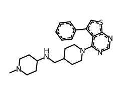 CN1CCC(NCC2CCN(c3ncnc4scc(-c5ccccc5)c34)CC2)CC1